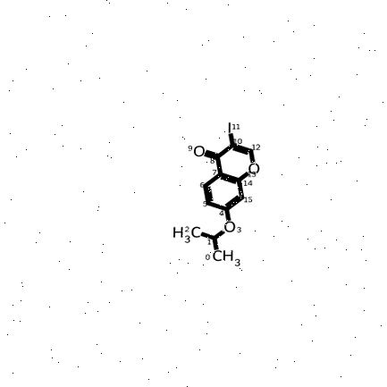 CC(C)Oc1ccc2c(=O)c(I)coc2c1